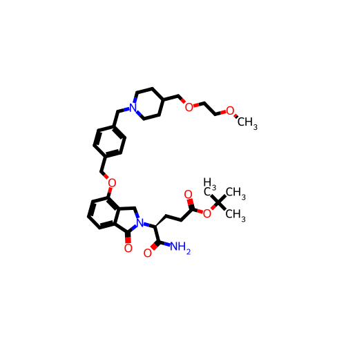 COCCOCC1CCN(Cc2ccc(COc3cccc4c3CN([C@@H](CCC(=O)OC(C)(C)C)C(N)=O)C4=O)cc2)CC1